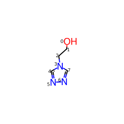 OCCn1[c]nnc1